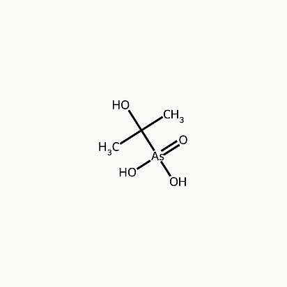 CC(C)(O)[As](=O)(O)O